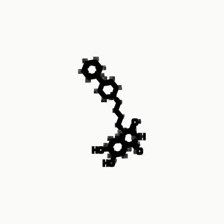 O=c1[nH]c(=O)n(CCCCN2CC=C(c3ccccc3)CC2)c2cc(O)c(O)cc12